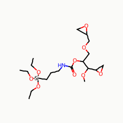 CCO[Si](CCCNC(=O)OC(COCC1CO1)C(OC)C1CO1)(OCC)OCC